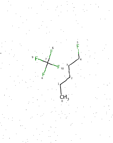 CCCCCF.FC(F)(F)F